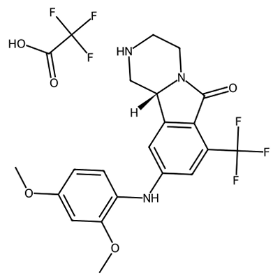 COc1ccc(Nc2cc3c(c(C(F)(F)F)c2)C(=O)N2CCNC[C@@H]32)c(OC)c1.O=C(O)C(F)(F)F